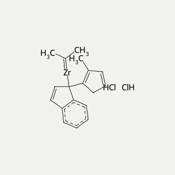 C[C](C)=[Zr][C]1(C2=C(C)C=CC2)C=Cc2ccccc21.Cl.Cl